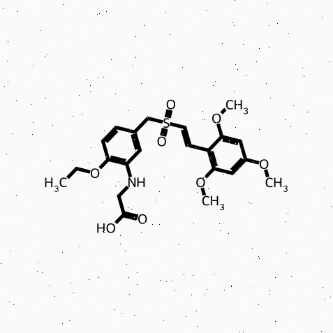 CCOc1ccc(CS(=O)(=O)C=Cc2c(OC)cc(OC)cc2OC)cc1NCC(=O)O